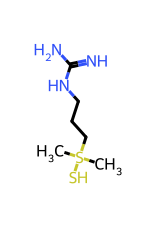 CS(C)(S)CCCNC(=N)N